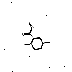 COC(=O)[C@@H]1CN(C)CCN1C